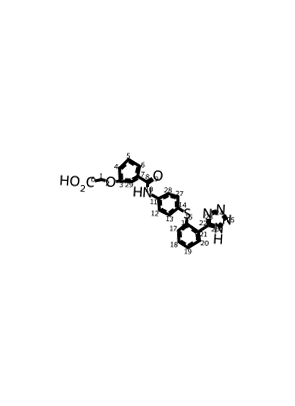 O=C(O)COc1cccc(C(=O)Nc2ccc(Sc3ccccc3-c3nnn[nH]3)cc2)c1